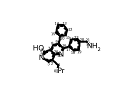 CC(C)Cc1cnc(O)c2cc(-c3ccccc3)c(-c3ccc(CN)cc3)nc12